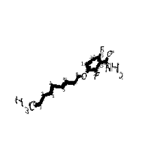 CCCCCCC=CCOc1ccc(F)c(C(N)=O)c1F